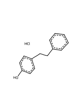 Cl.Oc1ccc(CCc2ccccc2)cc1